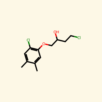 Cc1cc(Cl)c(OCC(O)CCCl)cc1C